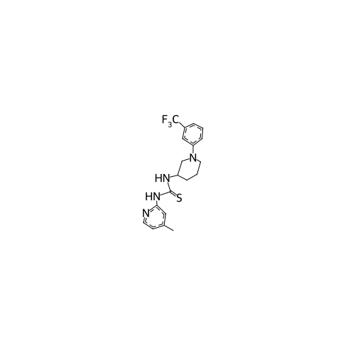 Cc1ccnc(NC(=S)NC2CCCN(c3cccc(C(F)(F)F)c3)C2)c1